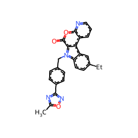 CCc1ccc2c(c1)c1c3cccnc3oc(=O)c1n2Cc1ccc(-c2noc(C)n2)cc1